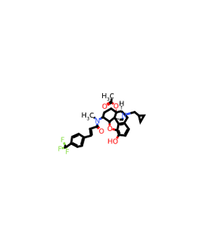 CC(=O)O[C@@]12CCC(N(C)C(=O)/C=C/c3ccc(C(F)(F)F)cc3)C3Oc4c(O)ccc5c4[C@@]31CCN(CC1CC1)[C@@H]2C5